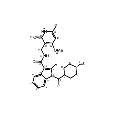 CCN1CCC(C(C)n2c(C)c(C(=O)NCc3c(OC)cc(C)[nH]c3=O)c3ccccc32)CC1